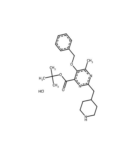 Cc1nc(CC2CCNCC2)nc(C(=O)OC(C)(C)C)c1OCc1ccccc1.Cl